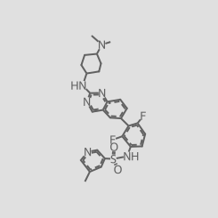 Cc1cncc(S(=O)(=O)Nc2ccc(F)c(-c3ccc4nc(NC5CCC(N(C)C)CC5)ncc4c3)c2F)c1